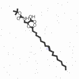 CCCCCCCC/C=C/CCCCCCCC(=O)OC(CNC(=O)OC(C)(C)C)C(=O)O